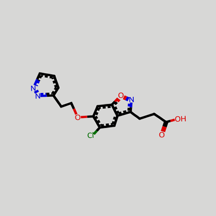 O=C(O)CCc1noc2cc(OCCc3cccnn3)c(Cl)cc12